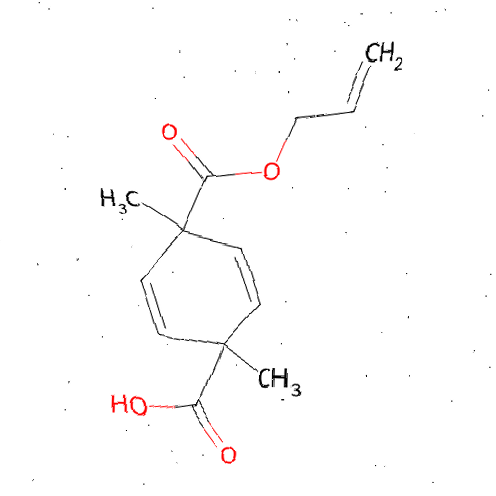 C=CCOC(=O)C1(C)C=CC(C)(C(=O)O)C=C1